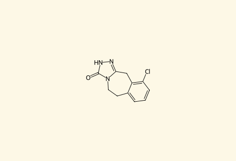 O=c1[nH]nc2n1CCc1cccc(Cl)c1C2